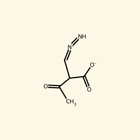 CC(=O)C(C=[N+]=N)C(=O)[O-]